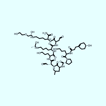 CC(C)CC(NC(=O)[C@H]1CCCN1C(=O)C(CCCO)NC(=O)CCC1=CC[C@H](O)CC1)C(=O)N[C@H](CC=O)C(=O)NC(CCCO)C(=O)NC(CCCCN[C@H](C)O)C(=O)NC(CC=O)C(=O)NC(CCCCN[C@@H](O)COCCO)C(N)=O